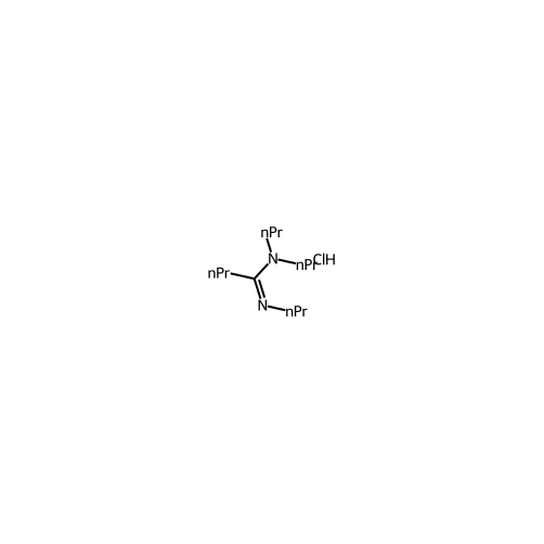 CCCN=C(CCC)N(CCC)CCC.Cl